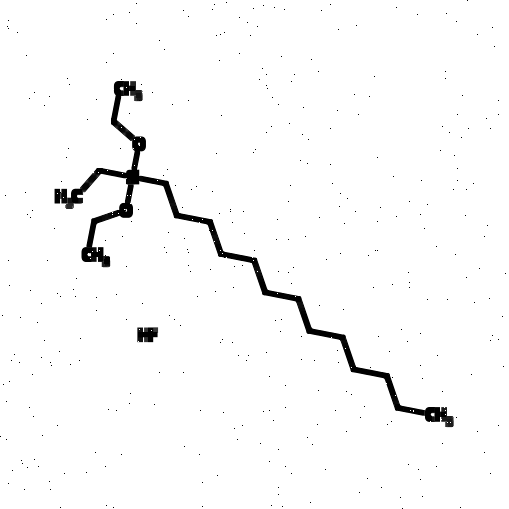 CCCCCCCCCCCCC[Si](CC)(OCC)OCC.F